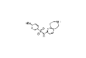 CCCCc1ccc(S(=O)(=O)Nc2ccc3c(c2)CCNCC3)cc1